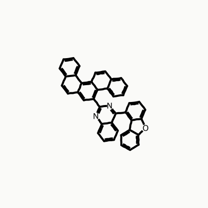 c1ccc2c(c1)ccc1c2c(-c2nc(-c3cccc4oc5ccccc5c34)c3ccccc3n2)cc2ccc3ccccc3c21